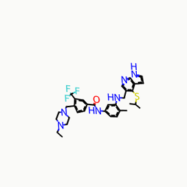 CCN1CCN(Cc2ccc(C(=O)Nc3ccc(C)c(NCc4cnc5[nH]ccc5c4SC(C)C)c3)cc2C(F)(F)F)CC1